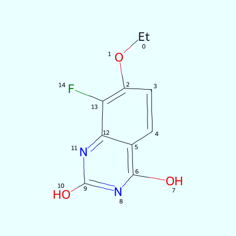 CCOc1ccc2c(O)nc(O)nc2c1F